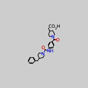 O=C(O)CC1CCN(C(=O)c2ccc(NC(=O)N3CCC(Cc4ccccc4)CC3)cc2)CC1